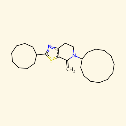 C=C1c2sc(C3CCCCCCCC3)nc2CCN1C1CCCCCCCCCCC1